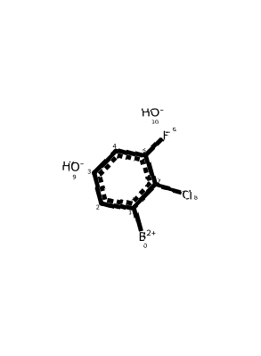 [B+2]c1cccc(F)c1Cl.[OH-].[OH-]